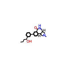 CCCC(O)c1cccc(-c2ccc3c(c2)C(=O)NC[C@H]2CN(C)C[C@H]32)c1